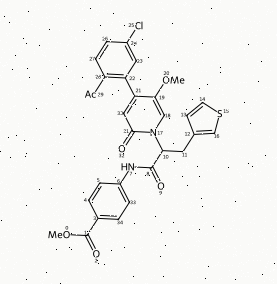 COC(=O)c1ccc(NC(=O)C(Cc2ccsc2)n2cc(OC)c(-c3cc(Cl)ccc3C(C)=O)cc2=O)cc1